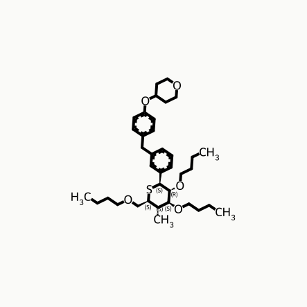 CCCCOC[C@H]1S[C@@H](c2cccc(Cc3ccc(OC4CCOCC4)cc3)c2)[C@H](OCCCC)[C@@H](OCCCC)[C@@H]1C